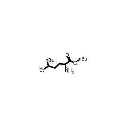 CCCCOC(=O)[C@@H](N)CCC(CC)CCCC